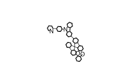 c1ccc(-c2ccc(-n3c4ccccc4c4cc(-c5ccc6c(c5)C5(c7ccccc7-c7ccccc75)c5c-6ccc6c5Oc5ccccc5O6)ccc43)cc2)nc1